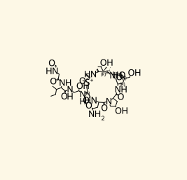 C=C1NC(=C)[C@](C)(C(C)O)[C@H](C)NC(=O)C([C@@H](C)[C@@H](O)CO)NC(=O)C2CC(O)CN2C(=O)C(CC(N)=O)NC(=O)[C@@H](NC(O)CNC(=O)C(NC(=O)CNC=O)C(C)CC)C[S+]1[O-]